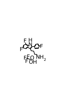 NCCCCc1c(-c2ccc(F)cc2)[nH]c2c(F)cc(F)cc12.O=C(O)C(F)(F)F